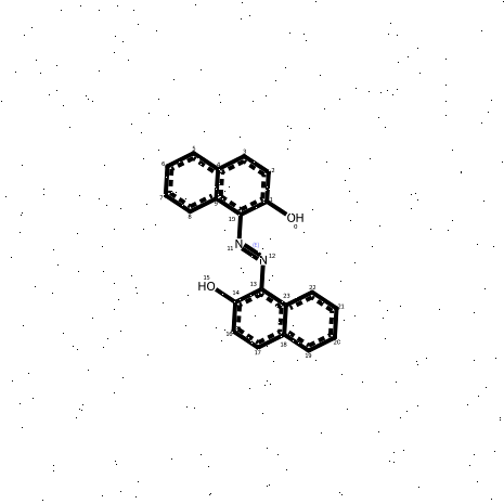 Oc1ccc2ccccc2c1/N=N/c1c(O)ccc2ccccc12